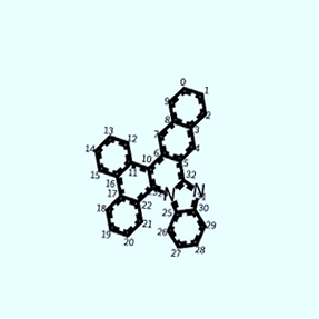 c1ccc2cc3c(cc2c1)c1c2ccccc2c2ccccc2c1n1c2ccccc2nc31